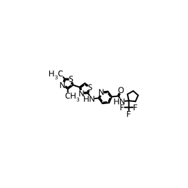 Cc1nc(C)c(-c2csc(Nc3ccc(C(=O)NC4(C(F)(F)F)CCCC4)cn3)n2)s1